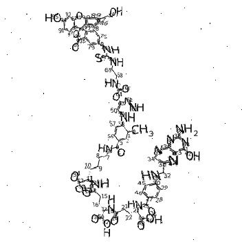 CC1C=C(C(=O)NCCCC[C@H](NC(=O)CC[C@H](NC(=O)CC[C@H](NC(=O)c2ccc(NCc3cnc4nc(N)nc(O)c4n3)cc2)C(=O)O)C(=O)O)C(=O)O)C=CC1N/C=C(\N=N)OC(=O)NCCNC(=S)Nc1ccc2c(c1)C(=O)OC21c2ccc(O)cc2Oc2cc(O)ccc21